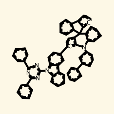 c1ccc(-c2cccc(N3c4ccccc4C4(c5ccccc5-c5ccccc54)c4ccc(-c5ccc6c(c5)c5ccccc5n6-c5nc(-c6ccccc6)nc(-c6ccccc6)n5)cc43)c2)cc1